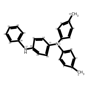 Cc1ccc(N(c2ccc(C)cc2)c2ccc(Nc3ccccc3)cc2)cc1